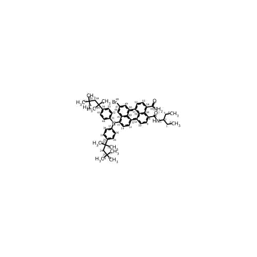 CCC(CC)NC(=O)c1ccc2c3ccc(N(c4ccc(C(C)(C)CC(C)(C)C)cc4)c4ccc(C(C)(C)CC(C)(C)C)cc4)c4cc(Br)cc(c5ccc(C(N)=O)c1c25)c43